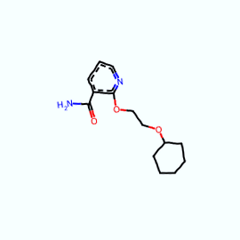 NC(=O)c1cccnc1OCCOC1CCCCC1